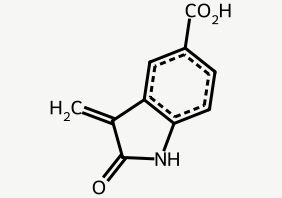 C=C1C(=O)Nc2ccc(C(=O)O)cc21